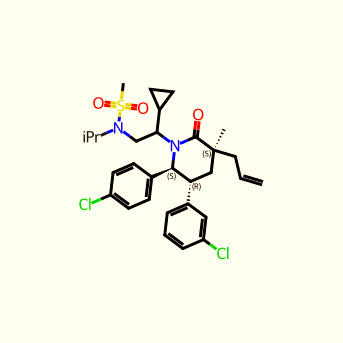 C=CC[C@@]1(C)C[C@H](c2cccc(Cl)c2)[C@@H](c2ccc(Cl)cc2)N(C(CN(C(C)C)S(C)(=O)=O)C2CC2)C1=O